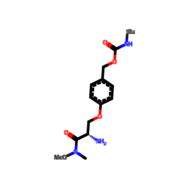 CON(C)C(=O)[C@@H](N)COc1ccc(COC(=O)NC(C)(C)C)cc1